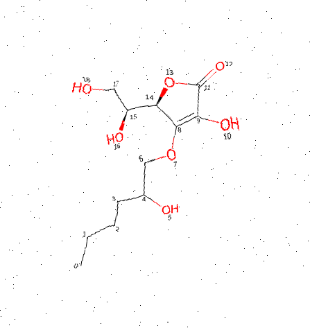 CCCCC(O)COC1=C(O)C(=O)O[C@@H]1[C@@H](O)CO